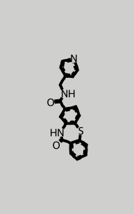 O=C(NCc1ccncc1)c1ccc2c(c1)NC(=O)c1ccccc1S2